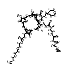 CCC1=C(C)c2cc3[nH]c(cc4nc(c5c6[nH]c(cc1n2)c(C)c6C(=O)N(CCN1CCOCC1)C5=O)[C@@H](CCC(=O)N(C)CCNC(=O)CNC(=O)OC(C)(C)C)[C@@H]4C)c(C)c3/C=C/C(=O)OCCOCCOCCO